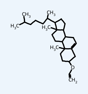 C=COC1CCC2(C)C(=CCC3C2CCC2(C)C(C(C)CCCC(C)C)CCC32)C1